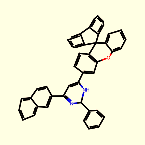 C1=C(c2ccc3c(c2)Oc2ccccc2C32c3ccccc3-c3ccccc32)NC(c2ccccc2)N=C1c1ccc2ccccc2c1